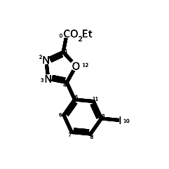 CCOC(=O)c1nnc(-c2cccc(I)c2)o1